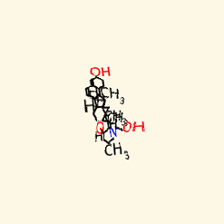 C[C@H]1C[C@H]2O[C@]3(CC[C@H]4[C@@H]5CCC6=C[C@@H](O)CC[C@]6(C)[C@H]5CC45CC53C)[C@H](C)[C@@H]2N(CCO)C1